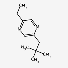 CCc1cnc(CC(C)(C)C)cn1